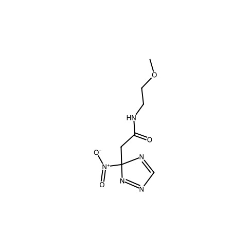 COCCNC(=O)CC1([N+](=O)[O-])N=CN=N1